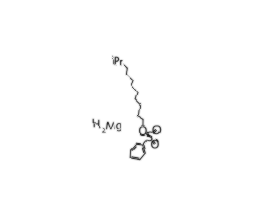 CC(C)CCCCCCCCCOS(=O)(=O)c1ccccc1.[MgH2]